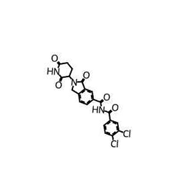 O=C1CCC(N2Cc3ccc(C(=O)NC(=O)c4ccc(Cl)c(Cl)c4)cc3C2=O)C(=O)N1